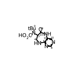 CC(C)(C)N(C(=O)O)C1CNc2ncncc2NC1=O